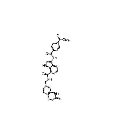 COC(=O)c1ccc(C(=O)Nc2c[nH]c3c(C(=O)NCc4ccc5c(c4)NC(=O)CO5)ncnc23)cc1